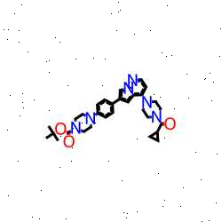 CC(C)(C)OC(=O)N1CCN(c2ccc(-c3cc4c(N5CCN(C(=O)C6CC6)CC5)ccnn4c3)cc2)CC1